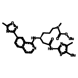 Cc1nc(-c2ccc3ccnc(N[C@@H](CCCN(C)C(=O)OC(C)(C)C)CC(=O)Nc4nc(C)c(C(C)(C)C)s4)c3c2)no1